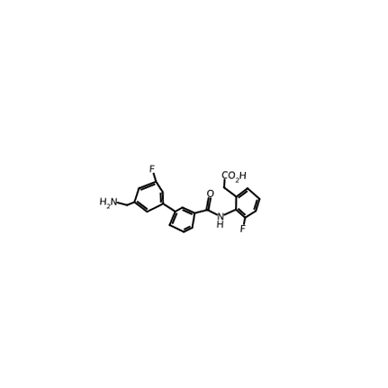 NCc1cc(F)cc(-c2cccc(C(=O)Nc3c(F)cccc3CC(=O)O)c2)c1